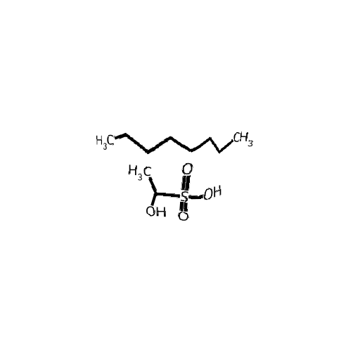 CC(O)S(=O)(=O)O.CCCCCCCC